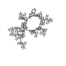 CC(C)C[C@@H]1NC(=O)[C@@H](Cc2ccccc2)NC(O)[C@H](CCNC(=O)OC(C)(C)C)NC(=O)[C@@H](NC(=O)[C@H](CCNC(=O)OC(C)(C)C)NC(=O)[C@@H](NC(=O)[C@@H](N)CCNC(=O)OC(C)(C)C)[C@@H](C)O)CCNC(=O)[C@H]([C@@H](C)O)NC(=O)[C@H](CCNC(=O)OC(C)(C)C)NC(=O)[C@H](CCNC(=O)OC(C)(C)C)NC1=O